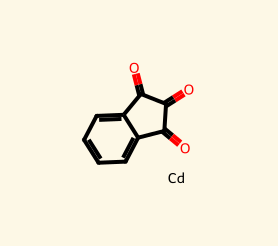 O=c1c(=O)c2ccccc2c1=O.[Cd]